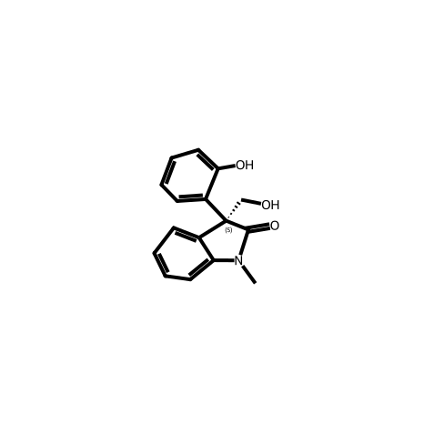 CN1C(=O)[C@](CO)(c2ccccc2O)c2ccccc21